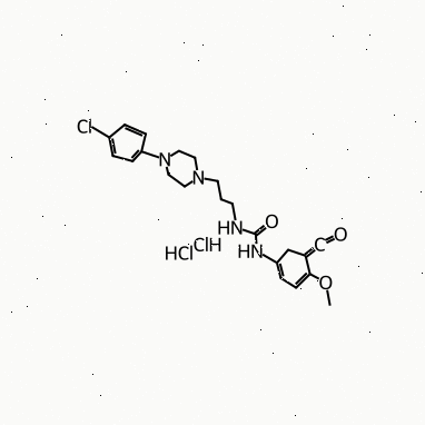 COC1=CC=C(NC(=O)NCCCN2CCN(c3ccc(Cl)cc3)CC2)CC1=C=O.Cl.Cl